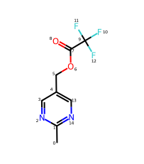 Cc1ncc(COC(=O)C(F)(F)F)cn1